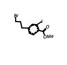 COC(=O)c1ccc(CCCBr)cc1I